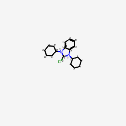 ClC1N(C2CCCCC2)c2ccccc2N1C1CCCCC1